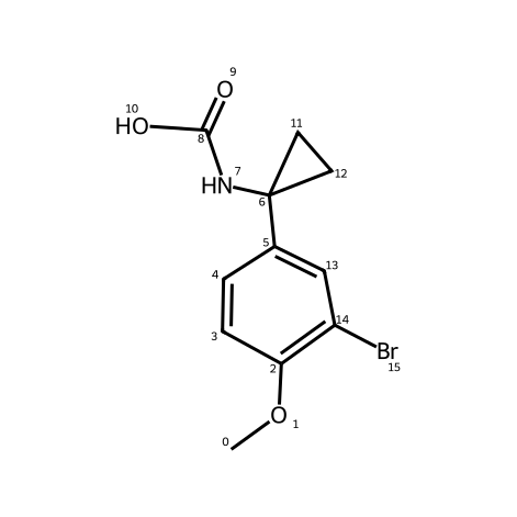 COc1ccc(C2(NC(=O)O)CC2)cc1Br